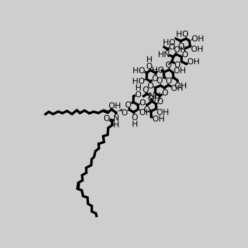 CCCCCCCC/C=C\CCCCCCCCCCCCCCCC(=O)N[C@@H](CO[C@@H]1OC(CO)[C@@H](O[C@@H]2OC(CO)[C@H](O)[C@H](O[C@@H]3OC(CO)[C@@H](O[C@@H]4OC(CO)[C@H](O)[C@H](O[C@@H]5OC(CO)[C@@H](O[C@@H]6OC(CO)[C@H](O)[C@H](O)C6O)[C@H](O)C5NC(C)=O)C4O)[C@H](O[C@H]4OC(C)[C@@H](O)C(O)[C@@H]4O)C3NC(C)=O)C2O)[C@H](O)C1O)[C@H](O)/C=C/CCCCCCCCCCCCC